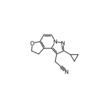 N#CCc1c(C2CC2)nn2ccc3c(c12)CCO3